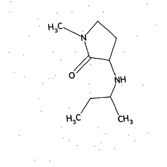 CCC(C)NC1CCN(C)C1=O